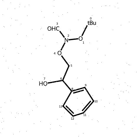 CC(C)(C)ON(C=O)OCC(O)c1ccccc1